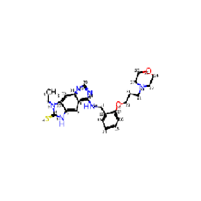 CCn1c(=S)[nH]c2cc3c(NCc4ccccc4OCCCN4CCOCC4)ncnc3cc21